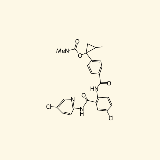 CNC(=O)OC1(c2ccc(C(=O)Nc3ccc(Cl)cc3C(=O)Nc3ccc(Cl)cn3)cc2)CC1C